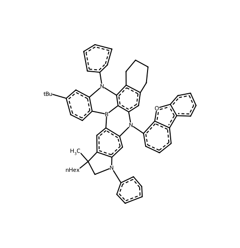 CCCCCCC1(C)CN(c2ccccc2)c2cc3c(cc21)B1c2ccc(C(C)(C)C)cc2N(c2ccccc2)c2c4c(cc(c21)N3c1cccc2c1oc1ccccc12)CCCC4